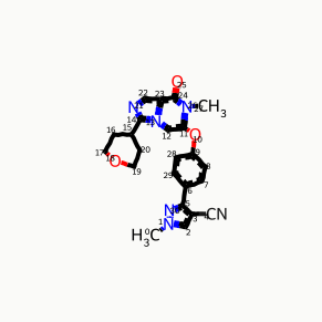 Cn1cc(C#N)c(-c2ccc(Oc3cn4c(C5CCOCC5)ncc4c(=O)n3C)cc2)n1